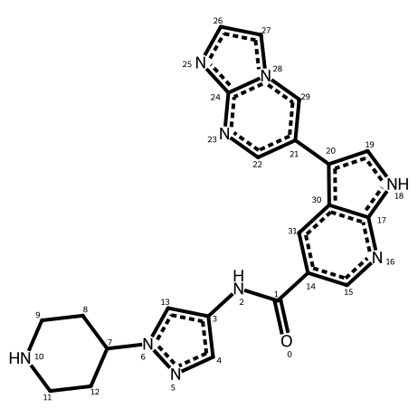 O=C(Nc1cnn(C2CCNCC2)c1)c1cnc2[nH]cc(-c3cnc4nccn4c3)c2c1